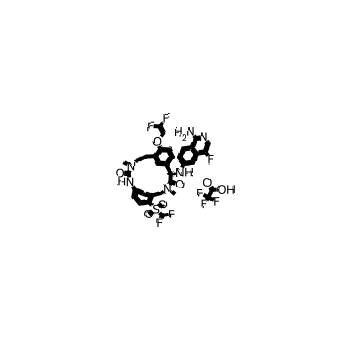 CN1CCc2cc(ccc2OCC(F)F)[C@@H](Nc2ccc3c(N)ncc(F)c3c2)C(=O)N(C)Cc2cc(ccc2S(=O)(=O)C(F)F)NC1=O.O=C(O)C(F)(F)F